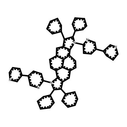 c1ccc(-c2c(-c3ccccc3)n(-c3ccc(-c4cccnc4)cn3)c3c2cc2ccc4c5c(ccc3c25)cc2c(-c3ccccc3)c(-c3ccccc3)n(-c3ccc(-c5cccnc5)cn3)c24)cc1